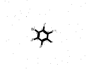 Cc1c(F)c(F)c(Br)c(I)c1F